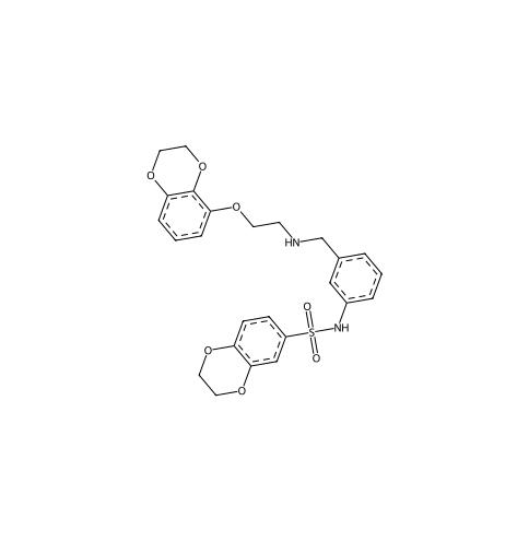 O=S(=O)(Nc1cccc(CNCCOc2cccc3c2OCCO3)c1)c1ccc2c(c1)OCCO2